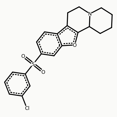 O=S(=O)(c1cccc(Cl)c1)c1ccc2c3c(oc2c1)C1CCCCN1CC3